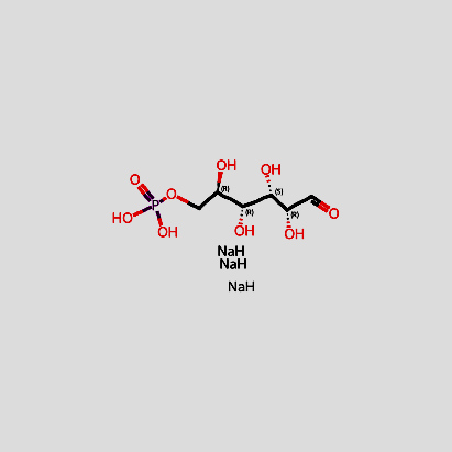 O=C[C@H](O)[C@@H](O)[C@H](O)[C@H](O)COP(=O)(O)O.[NaH].[NaH].[NaH]